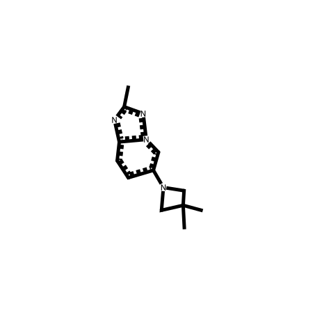 Cc1nc2ccc(N3CC(C)(C)C3)cn2n1